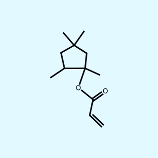 C=CC(=O)OC1(C)CC(C)(C)CC1C